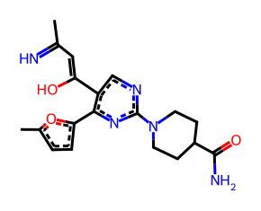 CC(=N)/C=C(\O)c1cnc(N2CCC(C(N)=O)CC2)nc1-c1ccc(C)o1